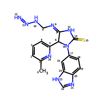 Cc1cccc(C2/C(=N\CNN=N)NC(=S)N2c2ccc3nc[nH]c3c2)n1